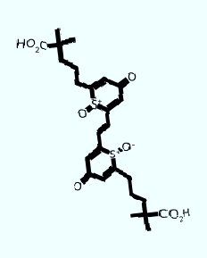 CC(C)(CCCc1cc(=O)cc(C=Cc2cc(=O)cc(CCCC(C)(C)C(=O)O)[s+]2[O-])[s+]1[O-])C(=O)O